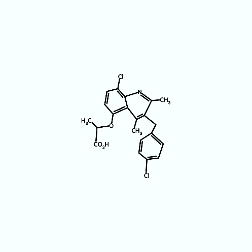 Cc1nc2c(Cl)ccc(OC(C)C(=O)O)c2c(C)c1Cc1ccc(Cl)cc1